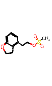 CS(=O)(=O)OCCc1cccc2c1CCO2